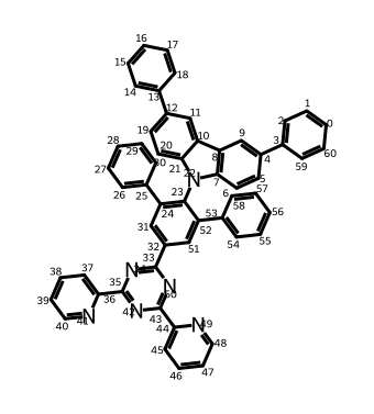 c1ccc(-c2ccc3c(c2)c2cc(-c4ccccc4)ccc2n3-c2c(-c3ccccc3)cc(-c3nc(-c4ccccn4)nc(-c4ccccn4)n3)cc2-c2ccccc2)cc1